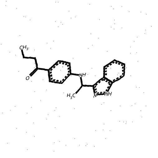 CCCC(=O)c1ccc(NC(C)c2n[nH]c3ccccc23)cc1